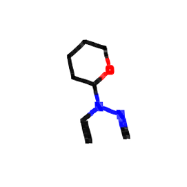 C=CN(N=C)C1CCCCO1